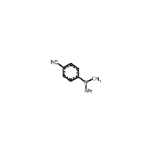 CCCN(C)c1ccc(C#N)cc1